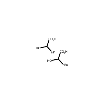 CCCC(O)C(=O)O.CCCCC(O)C(=O)O